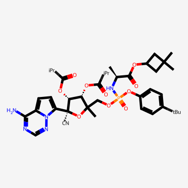 CC(C)C(=O)O[C@@H]1[C@H](OC(=O)C(C)C)C(C)(COP(=O)(N[C@@H](C)C(=O)OC2CC(C)(C)C2)Oc2ccc(C(C)(C)C)cc2)O[C@@]1(C#N)c1ccc2c(N)ncnn12